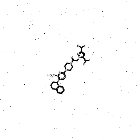 O=C(O)c1nc(N2CCN(C(=O)Cn3nc(C(F)F)cc3C(F)F)CC2)ccc1C1CCCc2ccccc21